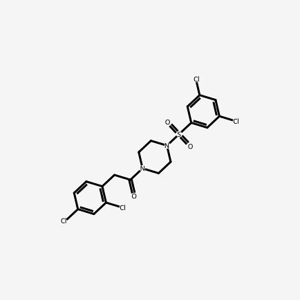 O=C(Cc1ccc(Cl)cc1Cl)N1CCN(S(=O)(=O)c2cc(Cl)cc(Cl)c2)CC1